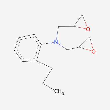 CCCc1ccccc1N(CC1CO1)CC1CO1